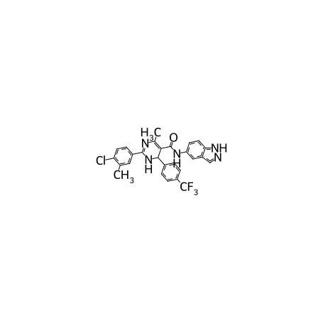 CC1=C(C(=O)Nc2ccc3[nH]ncc3c2)C(c2ccc(C(F)(F)F)cc2)NC(c2ccc(Cl)c(C)c2)=N1